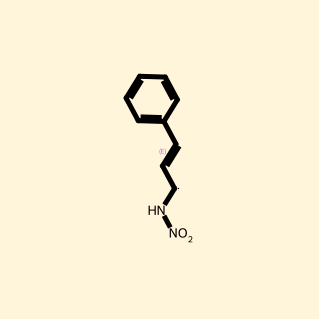 O=[N+]([O-])N[CH]/C=C/c1ccccc1